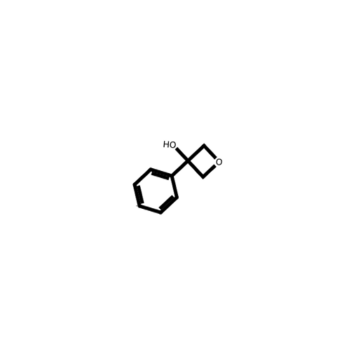 OC1(c2cc[c]cc2)COC1